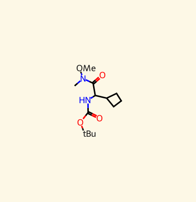 CON(C)C(=O)C(NC(=O)OC(C)(C)C)C1CCC1